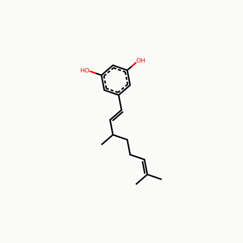 CC(C)=CCCC(C)C=Cc1cc(O)cc(O)c1